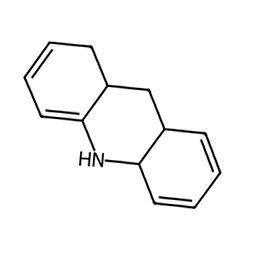 C1=CCC2CC3C=CC=CC3NC2=C1